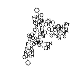 CNC(=O)CCOC1[C@@H](COP(=O)(OCCC#N)OC2[C@@H](COP(=O)(OCCC#N)OC3[C@@H](COP(=O)(OCCC#N)OCCC#N)O[C@@H](n4cnc5c(NC(=O)c6ccccc6)ncnc54)[C@H]3F)O[C@@H](n3cnc4c(NC(=O)c5ccccc5)ncnc43)[C@H]2F)O[C@@H](n2cnc3c(=O)[nH]c(NC(=O)C(C)C)nc32)[C@H]1O[Si](C)(C)C(C)(C)C